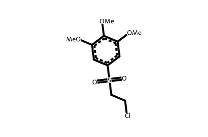 COc1cc(S(=O)(=O)CCCl)cc(OC)c1OC